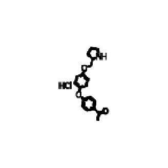 CC(=O)c1ccc(Oc2ccc(OCC3CCCN3)cc2)cc1.Cl